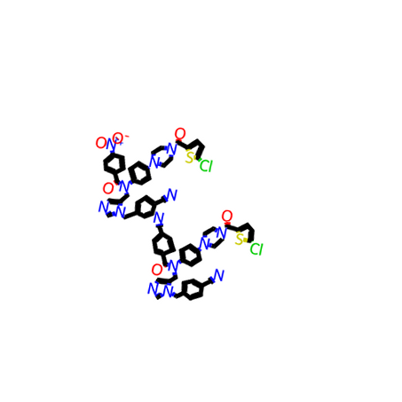 N#Cc1ccc(Cn2cncc2CN(C(=O)c2ccc(C#N)cc2)c2ccc(N3CCN(C(=O)c4ccc(Cl)s4)CC3)cc2)cc1.N#Cc1ccc(Cn2cncc2CN(C(=O)c2ccc([N+](=O)[O-])cc2)c2ccc(N3CCN(C(=O)c4ccc(Cl)s4)CC3)cc2)cc1